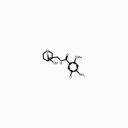 COc1cc(N)c(Cl)cc1C(=O)NCC1(O)CN2CCC1CC2